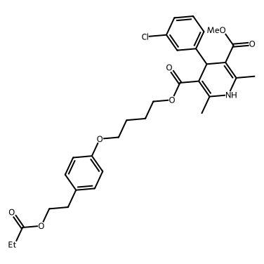 CCC(=O)OCCc1ccc(OCCCCOC(=O)C2=C(C)NC(C)=C(C(=O)OC)C2c2cccc(Cl)c2)cc1